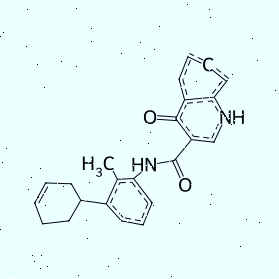 Cc1c(NC(=O)c2c[nH]c3ccccc3c2=O)cccc1C1CC=CCC1